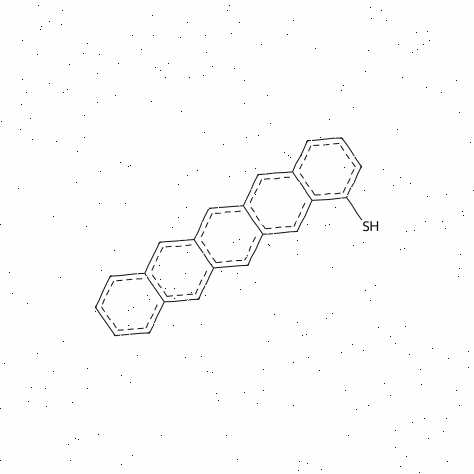 Sc1cccc2cc3cc4cc5ccccc5cc4cc3cc12